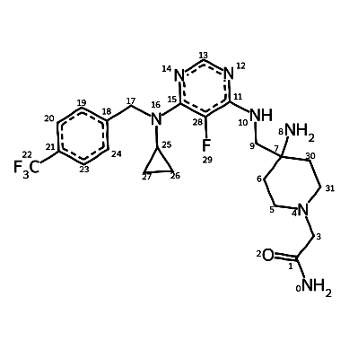 NC(=O)CN1CCC(N)(CNc2ncnc(N(Cc3ccc(C(F)(F)F)cc3)C3CC3)c2F)CC1